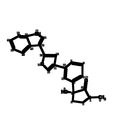 CN1CC[C@@](O)(c2cccc(-c3coc(-c4c[nH]c5ncccc45)c3)c2)C1=O